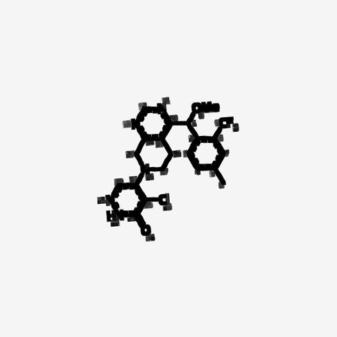 COC(c1ccc(C)cc1C(F)(F)F)c1ncnc2c1CCN(c1cn[nH]c(=O)c1Cl)C2